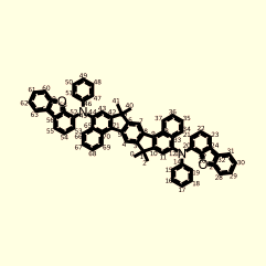 CC1(C)c2cc3c(cc2-c2c1cc(N(c1ccccc1)c1cccc4c1oc1ccccc14)c1ccccc21)C(C)(C)c1cc(N(c2ccccc2)c2cccc4c2oc2ccccc24)c2ccccc2c1-3